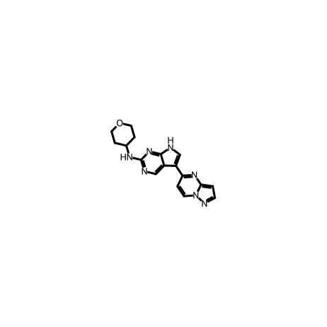 c1cc2nc(-c3c[nH]c4nc(NC5CCOCC5)ncc34)ccn2n1